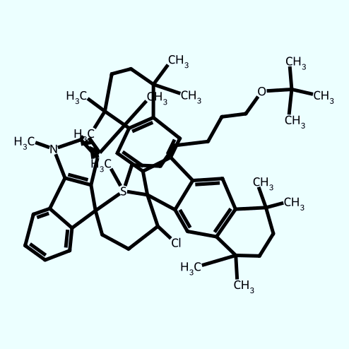 Cc1ccc2c(c1)c1c(n2C)-c2ccccc2C12CCC(Cl)C1(c3cc4c(cc3-c3cc5c(cc31)C(C)(C)CCC5(C)C)C(C)(C)CCC4(C)C)S2(C)CCCCCCOC(C)(C)C